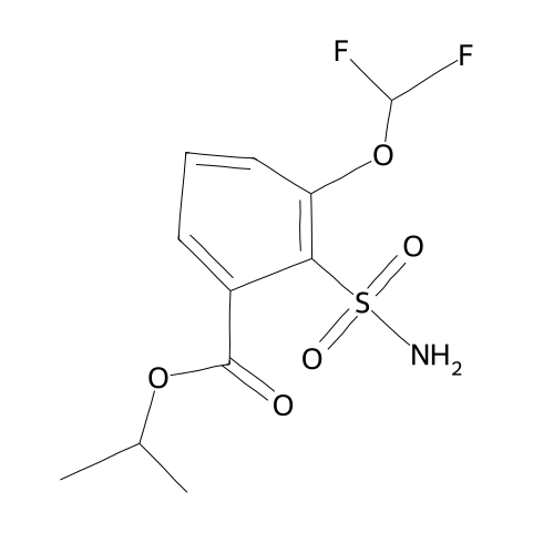 CC(C)OC(=O)c1cccc(OC(F)F)c1S(N)(=O)=O